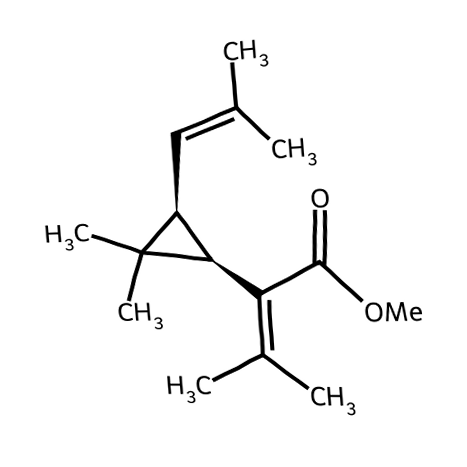 COC(=O)C(=C(C)C)[C@@H]1[C@H](C=C(C)C)C1(C)C